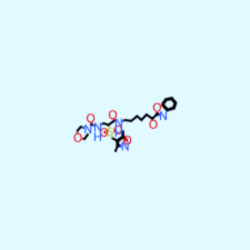 Cc1noc(C)c1CS(=O)(=O)C(CNC(=O)N1CCOCC1)C(=O)NCCCCCC(=O)c1nc2ccccc2o1